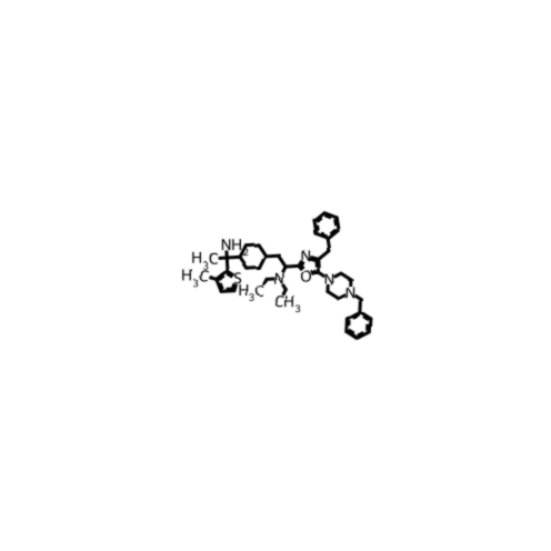 CCN(CC)C(CC1CCC(C(C)(N)c2sccc2C)CC1)c1nc(Cc2ccccc2)c(N2CCN(Cc3ccccc3)CC2)o1